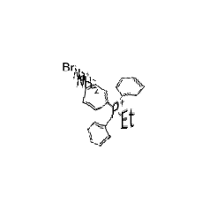 CC[P+](c1ccccc1)(c1ccccc1)c1ccccc1.[Br-].[NH2-].[Na+]